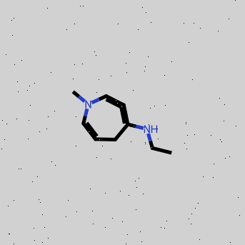 CCNC1=C=CN(C)C=CC1